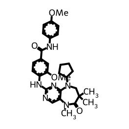 COc1ccc(NC(=O)c2ccc(Nc3ncc4c(n3)N(C3CCCC3)CC(C)(C)C(=O)N4C)c(OC)c2)cc1